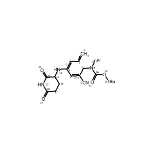 C=C/C=C(\C=C(\C#N)CN(CCC)C(=O)OC(C)(C)C)NC1CCC(=O)NC1=O